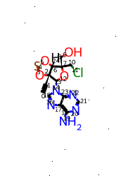 C#C[C@@]12OSO[C@@H]1[C@](CO)(CCl)O[C@H]2n1cnc2c(N)ncnc21